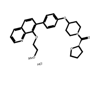 COCCOc1c(-c2ccc(OC3CCN(C(=O)[C@H]4CCCO4)CC3)cc2)ccc2cccnc12.Cl